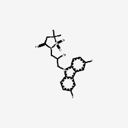 CC1(C)CC(=N)N(CC(O)Cn2c3ccc(F)cc3c3cc(F)ccc32)S1(=O)=O